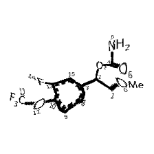 COCC(OC(N)=O)c1ccc(OC(F)(F)F)c(F)c1